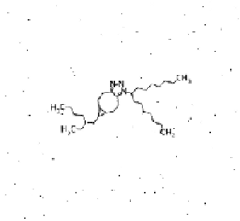 CCCCCCCC(CCCCCCC)n1nnc2c1CCC1C(CC2)C1CC(CC)CCCC